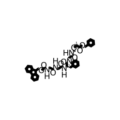 C[C@@H](OCNC(=O)CNC(=O)[C@H](Cc1ccccc1)NC(=O)CNC(=O)CNC(=O)OCC1c2ccccc2-c2ccccc21)C(=O)OCc1ccccc1